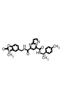 Cc1ccc([C@H](C)NC(=O)c2cc(C(=O)NCc3ccc4oc(=O)n(C)c4c3)nc3ccnn23)cc1